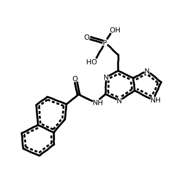 O=C(Nc1nc(CP(=O)(O)O)c2nc[nH]c2n1)c1ccc2ccccc2c1